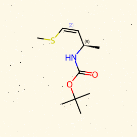 CS/C=C\[C@@H](C)NC(=O)OC(C)(C)C